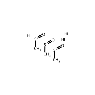 C[S+]=O.C[S+]=O.C[S+]=O.I.I.I